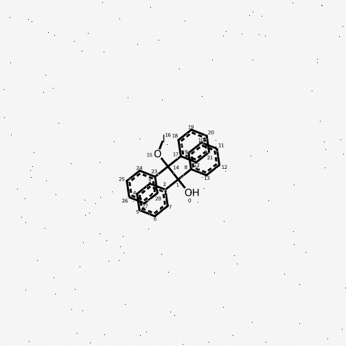 OC(c1ccccc1)(c1ccccc1)C(OI)(c1ccccc1)c1ccccc1